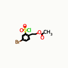 CC(=O)OCCc1ccc(Br)cc1S(=O)(=O)Cl